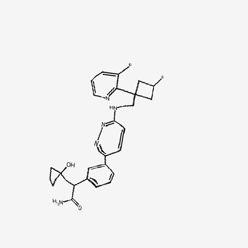 NC(=O)C(c1cccc(-c2ccc(NCC3(c4ncccc4F)CC(F)C3)nn2)c1)C1(O)CC1